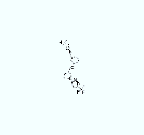 CCON=Cc1cccc(OCC2CCCN(c3ccc(C(F)(F)F)nn3)C2)c1